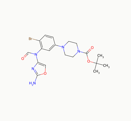 CC(C)(C)OC(=O)N1CCN(c2ccc(Br)c(N(C=O)c3coc(N)n3)c2)CC1